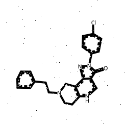 O=c1c2c[nH]c3c(c-2nn1-c1ccc(Cl)cc1)CN(CCc1ccccc1)CC3